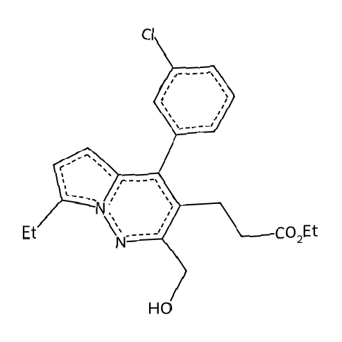 CCOC(=O)CCc1c(CO)nn2c(CC)ccc2c1-c1cccc(Cl)c1